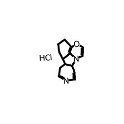 C1=CC2C(CC=N1)C1CCCC3=C1N2C=CO3.Cl